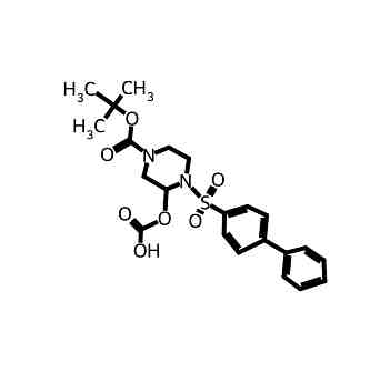 CC(C)(C)OC(=O)N1CCN(S(=O)(=O)c2ccc(-c3ccccc3)cc2)C(OC(=O)O)C1